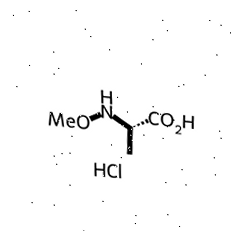 CON[C@@H](C)C(=O)O.Cl